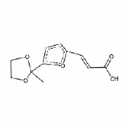 CC1(c2ccc(/C=C/C(=O)O)o2)OCCO1